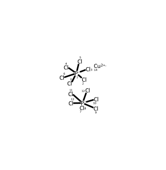 Cl[P-](Cl)(Cl)(Cl)(Cl)Cl.Cl[P-](Cl)(Cl)(Cl)(Cl)Cl.[Cu+2]